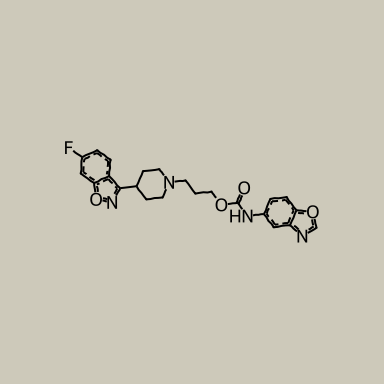 O=C(Nc1ccc2ocnc2c1)OCCCN1CCC(c2noc3cc(F)ccc23)CC1